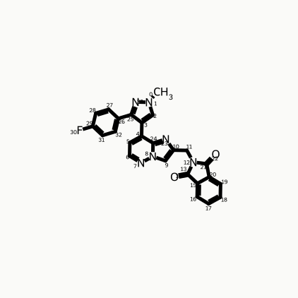 Cn1cc(-c2ccnn3cc(CN4C(=O)c5ccccc5C4=O)nc23)c(-c2ccc(F)cc2)n1